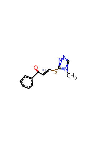 Cn1cnnc1S/C=C/C(=O)c1ccccc1